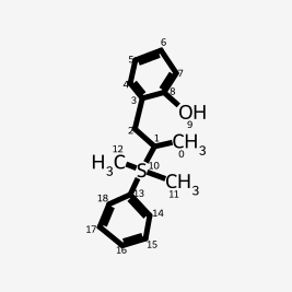 CC(Cc1ccccc1O)S(C)(C)c1ccccc1